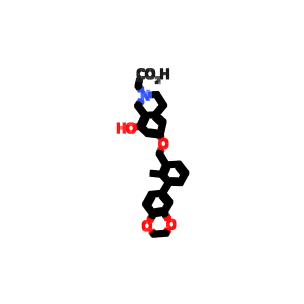 Cc1c(COc2cc(O)c3c(c2)CCN(CC(=O)O)C3)cccc1-c1ccc2c(c1)OCCO2